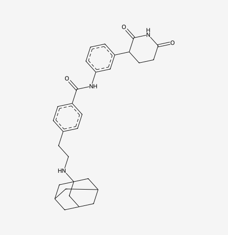 O=C1CCC(c2cccc(NC(=O)c3ccc(CCNC45CC6CC(CC(C6)C4)C5)cc3)c2)C(=O)N1